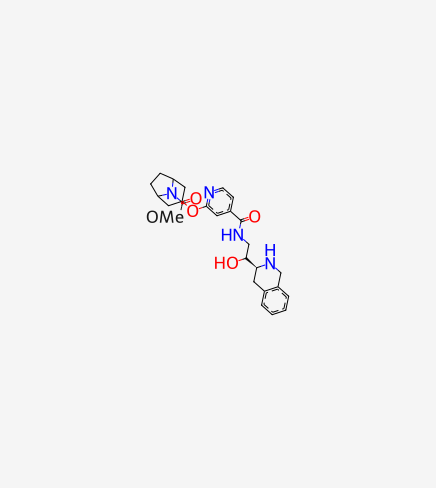 COC(=O)N1C2CCC1CC(Oc1cc(C(=O)NCC(O)[C@@H]3Cc4ccccc4CN3)ccn1)C2